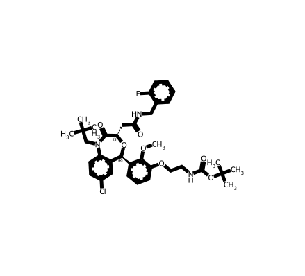 COc1c(OCCNC(=O)OC(C)(C)C)cccc1[C@@H]1O[C@@H](CC(=O)NCc2ccccc2F)C(=O)N(CC(C)(C)C)c2ccc(Cl)cc21